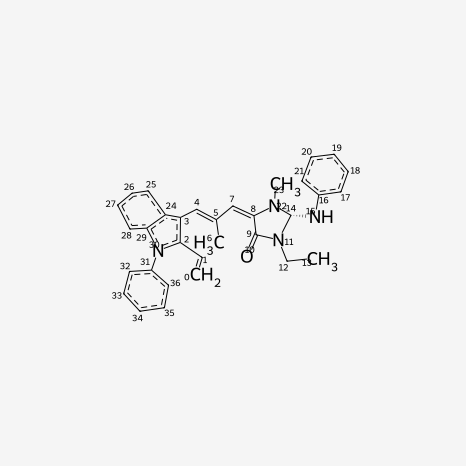 C=Cc1c(/C=C(C)/C=C2\C(=O)N(CC)[C@@H](Nc3ccccc3)N2C)c2ccccc2n1-c1ccccc1